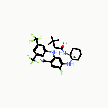 CC(C)(C)CC(=O)N[C@H]1CCCC[C@H]1Nc1cc(Nc2cc(C(F)(F)F)cc(C(F)(F)F)c2)c(C#N)cc1F